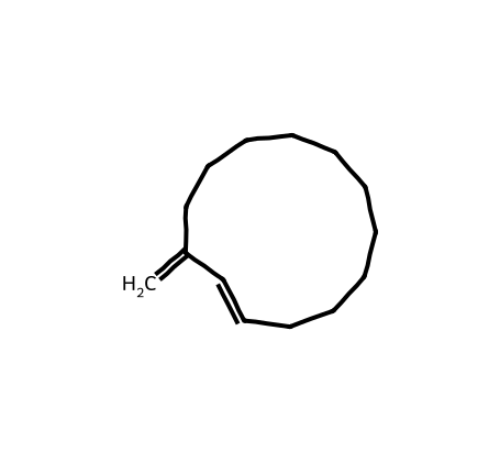 C=C1/C=C/CCCCCCCCCC1